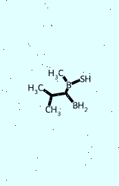 BC(B(C)S)C(C)C